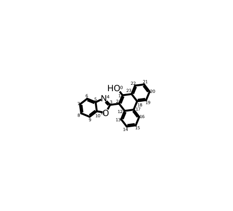 Oc1c(-c2nc3ccccc3o2)c2ccccc2c2ccccc12